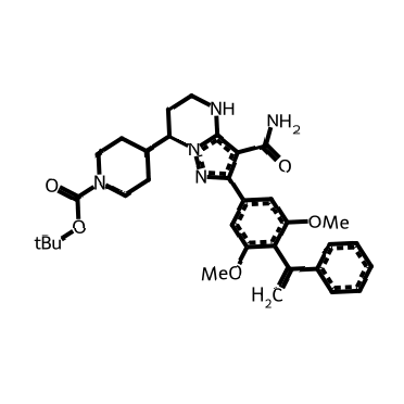 C=C(c1ccccc1)c1c(OC)cc(-c2nn3c(c2C(N)=O)NCCC3C2CCN(C(=O)OC(C)(C)C)CC2)cc1OC